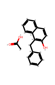 CC(=O)O.Oc1ccc2ccccc2c1Cc1ccccc1